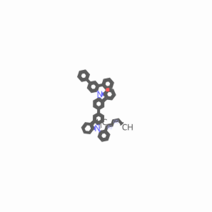 C#C/C=C\C=C(/C)c1ccccc1-n1c2c(c3cc(-c4ccc5c(c4)c4ccccc4n5-c4ccc(-c5ccccc5)cc4-c4ccccc4)ccc31)C=CCC2